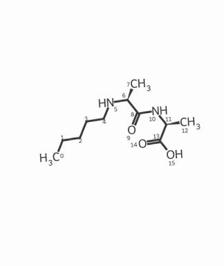 CCCCCN[C@@H](C)C(=O)N[C@@H](C)C(=O)O